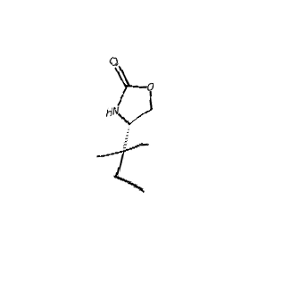 CCC(C)(C)[C@H]1COC(=O)N1